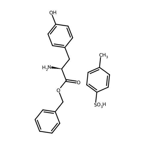 Cc1ccc(S(=O)(=O)O)cc1.N[C@@H](Cc1ccc(O)cc1)C(=O)OCc1ccccc1